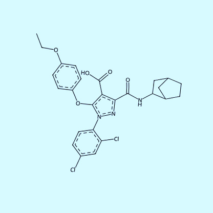 CCOc1ccc(Oc2c(C(=O)O)c(C(=O)NC3CC4CCC3C4)nn2-c2ccc(Cl)cc2Cl)cc1